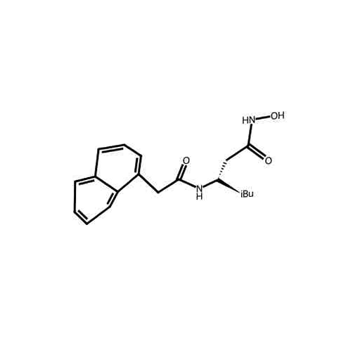 CC[C@H](C)[C@@H](CC(=O)NO)NC(=O)Cc1cccc2ccccc12